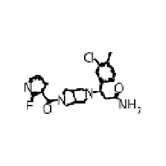 Cc1ccc(C(CC(N)=O)N2CC3CN(C(=O)c4cccnc4F)CC3C2)cc1Cl